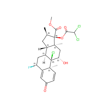 COC(=O)[C@@]1(OC(=O)C(Cl)Cl)[C@H](C)C[C@H]2[C@@H]3C[C@H](F)C4=CC(=O)C=C[C@]4(C)[C@@]3(Cl)[C@@H](O)C[C@@]21C